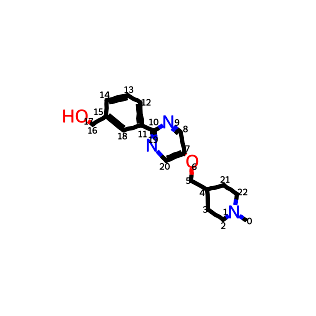 CN1CCC(COc2cnc(-c3cccc(CO)c3)nc2)CC1